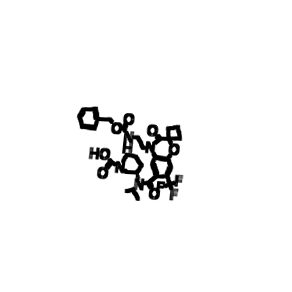 CC(C)N(C(=O)c1cc2c(cc1C(F)(F)F)OC1(CCC1)C(=O)N2CCNC(=O)OCc1ccccc1)[C@@H]1CCCN(C(=O)O)C1